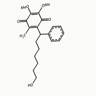 COC1=C(OC)C(=O)C(C(CCCCCCO)c2ccccc2)=C(C)C1=O